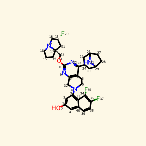 Oc1cc(N2CCc3c(nc(OC[C@@]45CCCN4C[C@H](F)C5)nc3C3CC4CCC(C3)N4)C2)c2c(F)c(F)ccc2c1